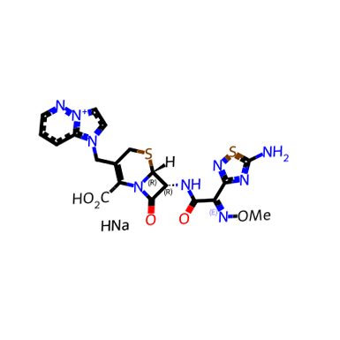 CO/N=C(/C(=O)N[C@@H]1C(=O)N2C(C(=O)O)=C(Cn3cc[n+]4ncccc34)CS[C@H]12)c1nsc(N)n1.[NaH]